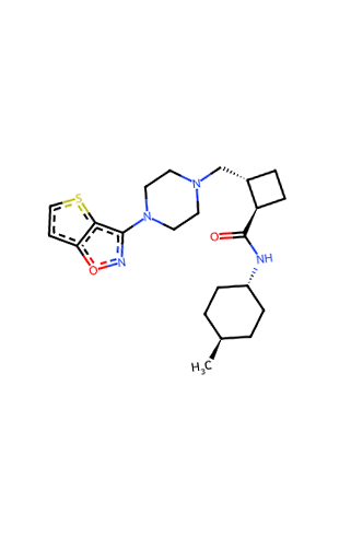 C[C@H]1CC[C@H](NC(=O)[C@@H]2CC[C@H]2CN2CCN(c3noc4ccsc34)CC2)CC1